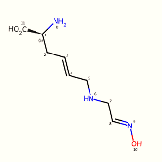 N[C@@H](CC=CCNCC=NO)C(=O)O